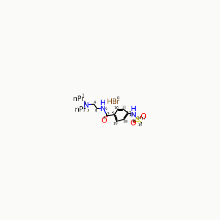 Br.CCCN(CCC)CCNC(=O)c1ccc(NS(C)(=O)=O)cc1